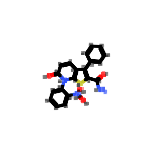 NC(=O)c1sc2c(ccc(=O)n2-c2ccccc2[N+](=O)[O-])c1-c1ccccc1